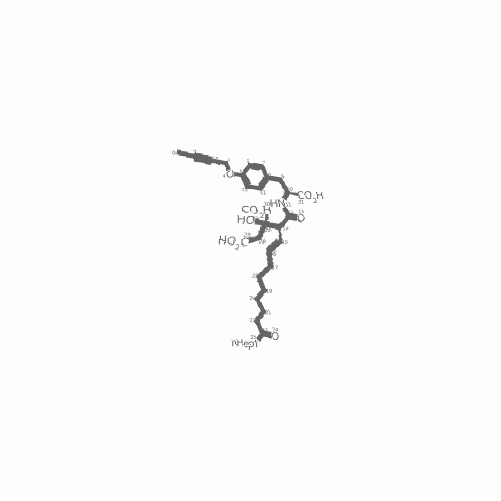 CC#CCOc1ccc(C[C@H](NC(=O)[C@@H](C=CCCCCCCC(=O)CCCCCCC)[C@@](O)(CC(=O)O)C(=O)O)C(=O)O)cc1